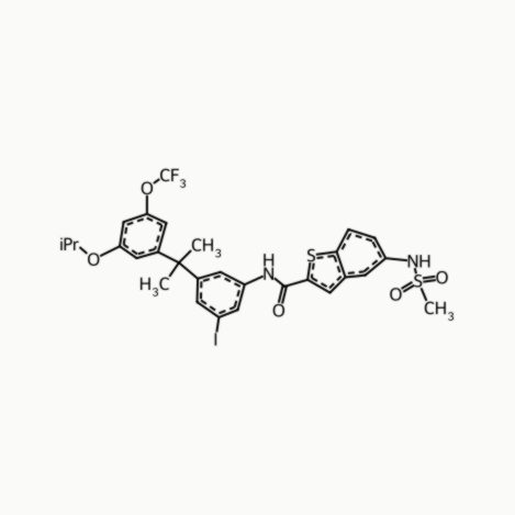 CC(C)Oc1cc(OC(F)(F)F)cc(C(C)(C)c2cc(I)cc(NC(=O)c3cc4cc(NS(C)(=O)=O)ccc4s3)c2)c1